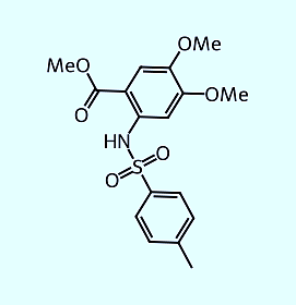 COC(=O)c1cc(OC)c(OC)cc1NS(=O)(=O)c1ccc(C)cc1